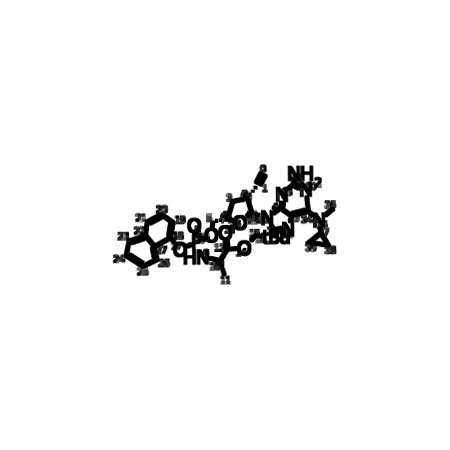 C#C[C@H]1C[C@@H](CO[P@@](=O)(N[C@H](C)C(=O)OCC(C)(C)C)Oc2cccc3ccccc23)O[C@H]1n1cnc2c(N(C)C3CC3)nc(N)nc21